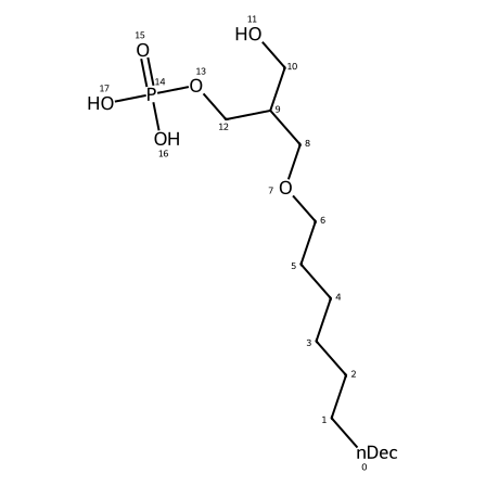 CCCCCCCCCCCCCCCCOCC(CO)COP(=O)(O)O